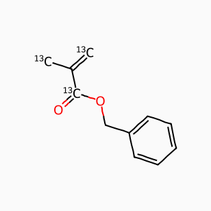 [13CH2]=C([13CH3])[13C](=O)OCc1ccccc1